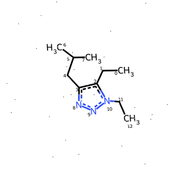 CCc1c(CC(C)C)nnn1CC